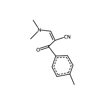 Cc1ccc(C(=O)/C(C#N)=C\N(C)C)cc1